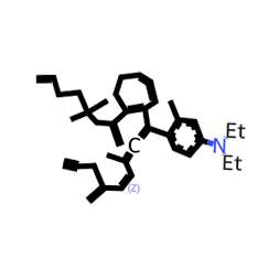 C#CCC(=C)/C=C\C(C)=C=C(C1=C(C(=C)CC(C)(C)CCC=C)CCC=C=C1)c1ccc(N(CC)CC)cc1C